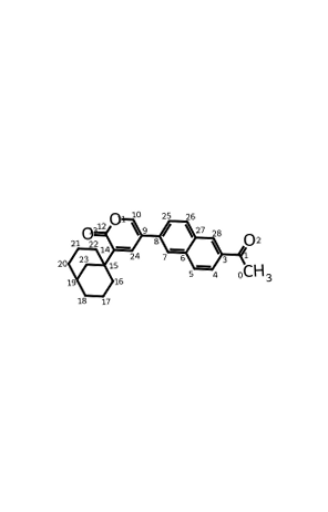 CC(=O)c1ccc2cc(-c3coc(=O)c(C45CCCC(CCC4)C5)c3)ccc2c1